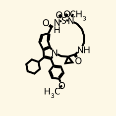 COc1ccc(-c2c(C3CCCCC3)c3ccc4cc3n2CC2(CC2)C(=O)NCCCCN(C)S(=O)(=O)NC4=O)cc1